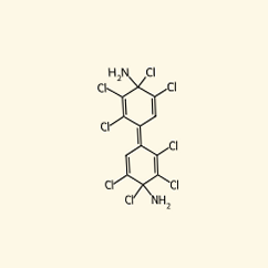 NC1(Cl)C(Cl)=C/C(=C2/C=C(Cl)C(N)(Cl)C(Cl)=C2Cl)C(Cl)=C1Cl